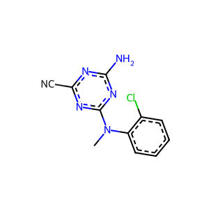 CN(c1nc(N)nc(C#N)n1)c1ccccc1Cl